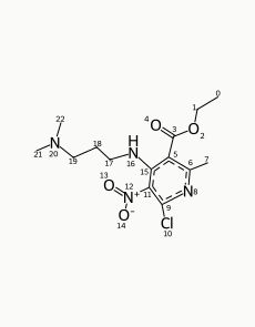 CCOC(=O)c1c(C)nc(Cl)c([N+](=O)[O-])c1NCCCN(C)C